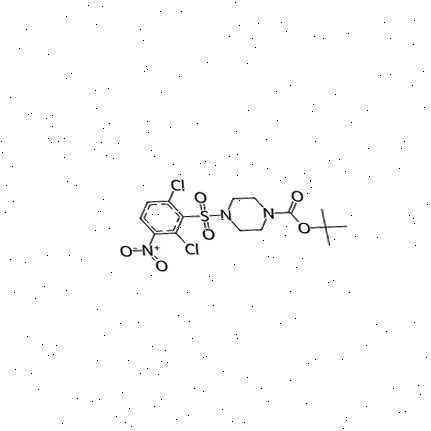 CC(C)(C)OC(=O)N1CCN(S(=O)(=O)c2c(Cl)ccc([N+](=O)[O-])c2Cl)CC1